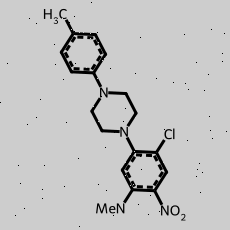 CNc1cc(N2CCN(c3ccc(C)cc3)CC2)c(Cl)cc1[N+](=O)[O-]